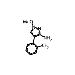 COn1cc(-c2ccccc2C(F)(F)F)c(N)n1